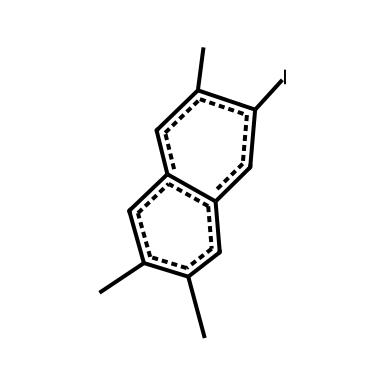 Cc1cc2cc(C)c(I)cc2cc1C